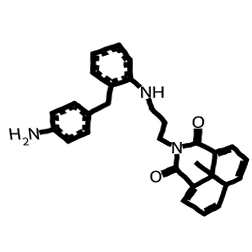 CC12C3=CC=CC1C=CC=C2C(=O)N(CCCNc1ccccc1Cc1ccc(N)cc1)C3=O